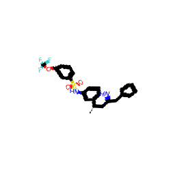 C[C@@H](CC(=N)Cc1ccccc1)c1cccc(NS(=O)(=O)c2cccc(OC(F)(F)F)c2)c1